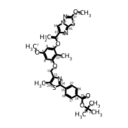 C=C(Oc1cc(OC)cc(OCc2nc(-c3ccc(C(=O)OC(C)(C)C)cc3)sc2C)c1C)c1cn2nc(OC)sc2n1